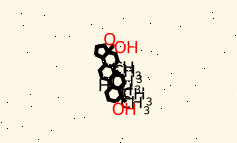 CC1(C)C(O)CCC2(C)[C@H]3CCC4C5CCCC5(C(=O)O)CC[C@@]4(C)C3(C)CC[C@@H]12